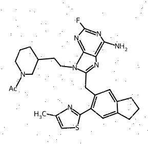 CC(=O)N1CCCC(CCn2c(Cc3cc4c(cc3-c3nc(C)cs3)CCC4)nc3c(N)nc(F)nc32)C1